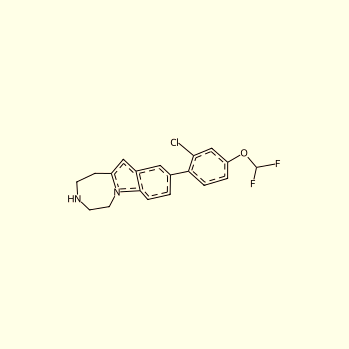 FC(F)Oc1ccc(-c2ccc3c(c2)cc2n3CCNCC2)c(Cl)c1